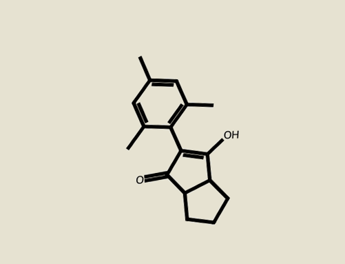 Cc1cc(C)c(C2=C(O)C3CCCC3C2=O)c(C)c1